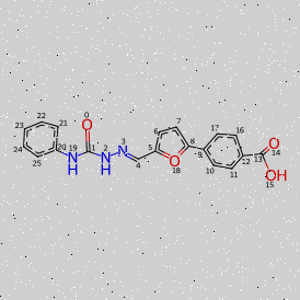 O=C(NN=Cc1ccc(-c2ccc(C(=O)O)cc2)o1)Nc1ccccc1